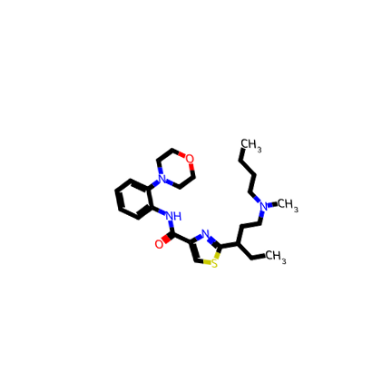 CCCCN(C)CCC(CC)c1nc(C(=O)Nc2ccccc2N2CCOCC2)cs1